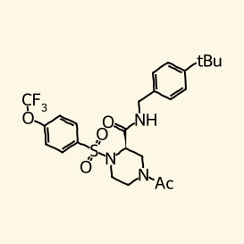 CC(=O)N1CCN(S(=O)(=O)c2ccc(OC(F)(F)F)cc2)[C@@H](C(=O)NCc2ccc(C(C)(C)C)cc2)C1